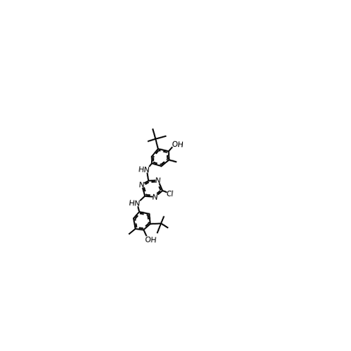 Cc1cc(Nc2nc(Cl)nc(Nc3cc(C)c(O)c(C(C)(C)C)c3)n2)cc(C(C)(C)C)c1O